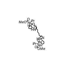 COC(=O)N[C@H](C(=O)N1CCC[C@H]1c1ncc(CCCCc2cnc([C@@H]3CCCN3C(=O)[C@@H](NC(=O)OC)C(C)C)[nH]2)[nH]1)C(C)C